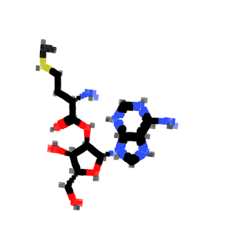 CSSCC[C@H](N)C(=O)O[C@@H]1[C@H](O)[C@@H](CO)O[C@H]1n1cnc2c(N)ncnc21